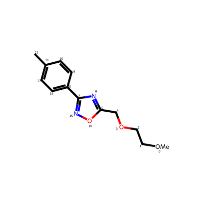 COCCOCc1nc(-c2ccc(C)cc2)no1